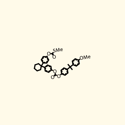 COc1ccc(C(C)(C)c2ccc(OC(=O)Oc3ccc(C4(c5ccc(OC(=O)SC)cc5)CCCCC4)cc3)cc2)cc1